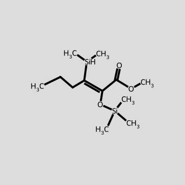 CCCC(=C(O[Si](C)(C)C)C(=O)OC)[SiH](C)C